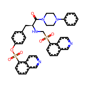 O=C([C@H](Cc1ccc(OS(=O)(=O)c2cccc3cnccc23)cc1)NCS(=O)(=O)c1cccc2cnccc12)N1CCN(c2ccccc2)CC1